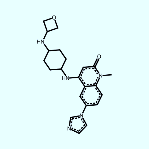 Cn1c(=O)cc(NC2CCC(NC3COC3)CC2)c2cc(-n3ccnc3)ccc21